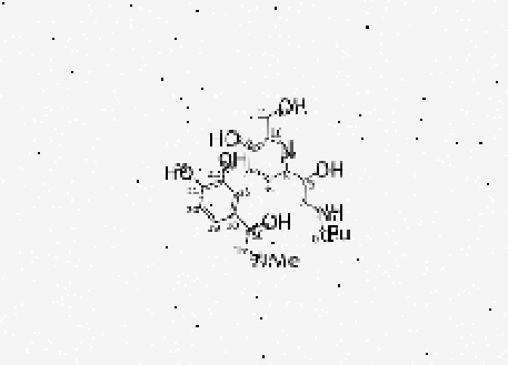 CC(C)(C)NCC(O)c1ccc(O)c(CO)n1.CNC[C@H](O)c1ccc(O)c(O)c1